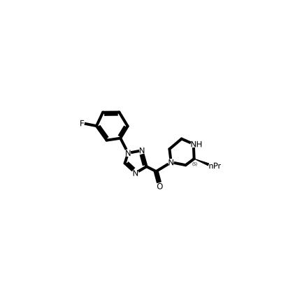 CCC[C@H]1CN(C(=O)c2ncn(-c3cccc(F)c3)n2)CCN1